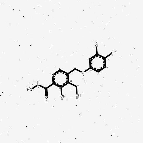 O=C(NO)c1ncc(COc2ccc(F)c(Cl)c2)c(CO)c1O